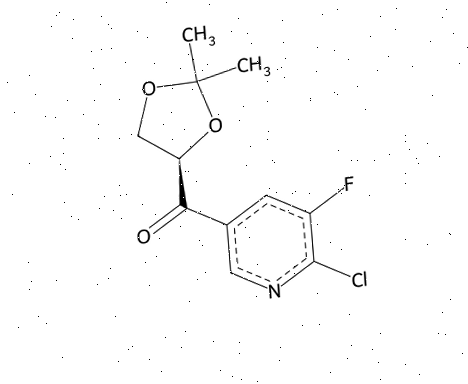 CC1(C)OC[C@H](C(=O)c2cnc(Cl)c(F)c2)O1